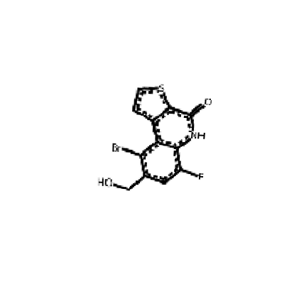 O=c1[nH]c2c(F)cc(CO)c(Br)c2c2ccsc12